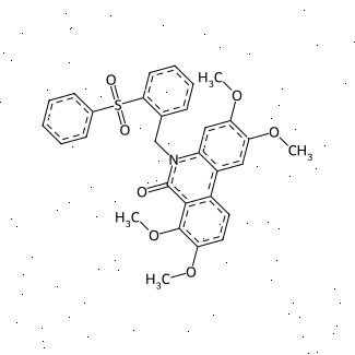 COc1cc2c3ccc(OC)c(OC)c3c(=O)n(Cc3ccccc3S(=O)(=O)c3ccccc3)c2cc1OC